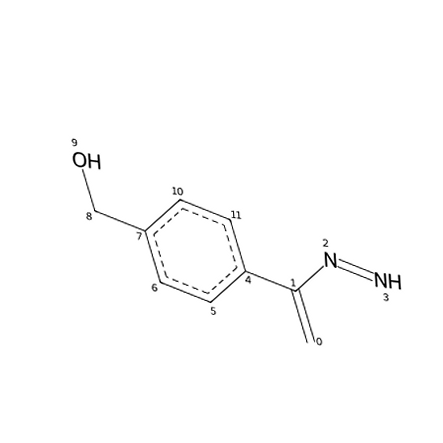 C=C(N=N)c1ccc(CO)cc1